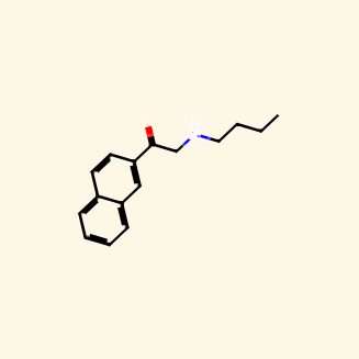 CCCCNCC(=O)c1ccc2ccccc2c1